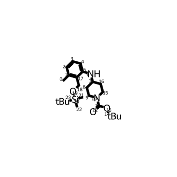 Cc1cccc(NC2CCN(C(=O)OC(C)(C)C)CC2)c1CO[Si](C)(C)C(C)(C)C